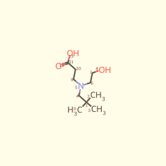 CC(C)(C)CN(CCO)CCC(=O)O